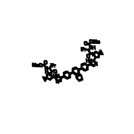 COC(=O)NC(C(=O)N1CC2(CC2)C[C@H]1c1ncc(-c2ccc(-c3ccc(-c4ccc(-c5cnc([C@@H]6CC7(CC7)CN6C(=O)[C@@H](NC(=O)OC)C(C)C)[nH]5)cc4)c4c3C3CCC4C3)cc2)[nH]1)C(C)C